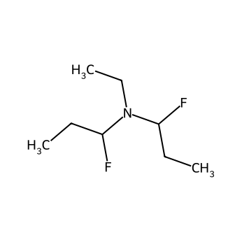 CCC(F)N(CC)C(F)CC